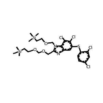 C[Si](C)(C)CCOCOCc1nc2cc(Sc3ccc(Cl)cc3Cl)c(Cl)c(Cl)c2n1COCC[Si](C)(C)C